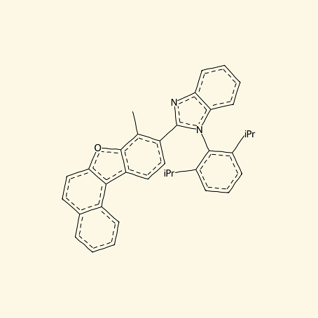 Cc1c(-c2nc3ccccc3n2-c2c(C(C)C)cccc2C(C)C)ccc2c1oc1ccc3ccccc3c12